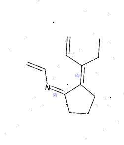 C=C/N=C1/CCC/C1=C(/C=C)CC